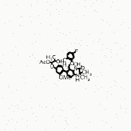 COc1cc(OC(OC(C)=O)C(C)O)ccc1-c1ccc2c(c1COc1cc(F)ccc1C)N(C)C(=O)C(C)(C)N2